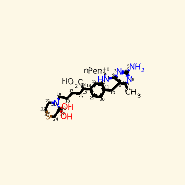 CCCCCNc1nc(N)nc(C)c1Cc1ccc(C(CCCCN2CCSCC2(O)O)C(=O)O)cc1